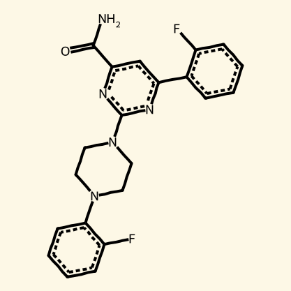 NC(=O)c1cc(-c2ccccc2F)nc(N2CCN(c3ccccc3F)CC2)n1